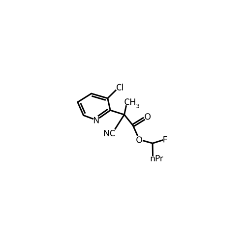 CCCC(F)OC(=O)C(C)(C#N)c1ncccc1Cl